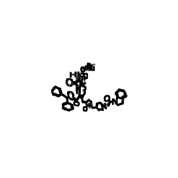 CC(C)(C)OC(=O)N[C@@H]1C(=O)N2C(C(=O)OC(c3ccccc3)c3ccccc3)=C(C=C3CCN(Cc4cc[n+](CC(=O)N5CCc6ccccc65)cc4)C3=O)CS[C@H]12.[Br-]